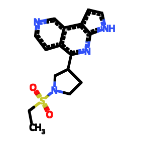 CCS(=O)(=O)N1CCC(c2nc3[nH]ccc3c3cnccc23)C1